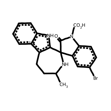 CC1CCc2c([nH]c3ccccc23)C2(N1)C(=O)N(C(=O)O)c1ccc(Br)cc12